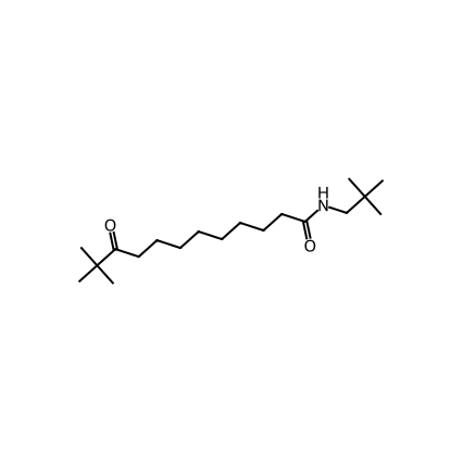 CC(C)(C)CNC(=O)CCCCCCCCC(=O)C(C)(C)C